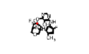 Cc1ccc(Nc2ncnc(O[C@@H]3CC4COC[C@@H](C3)N4CC(F)(F)F)c2C)c(F)c1